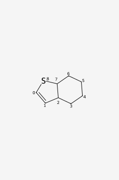 C1=CC2CCCCC2S1